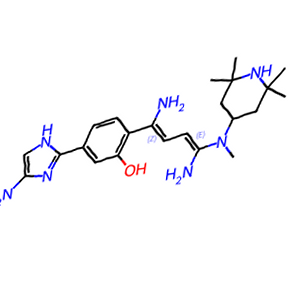 CN(/C(N)=C/C=C(\N)c1ccc(-c2nc(N)c[nH]2)cc1O)C1CC(C)(C)NC(C)(C)C1